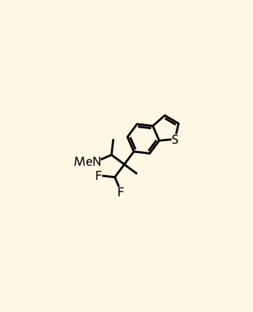 CNC(C)C(C)(c1ccc2ccsc2c1)C(F)F